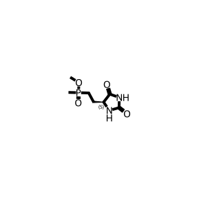 COP(C)(=O)CC[C@@H]1NC(=O)NC1=O